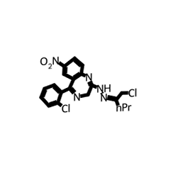 CCCC(CCl)=NNC1=Nc2ccc([N+](=O)[O-])cc2C(c2ccccc2Cl)=NC1